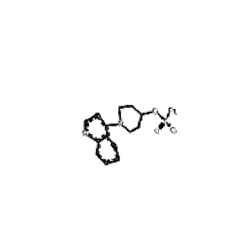 CCS(=O)(=O)OC1CCN(c2ccnc3ccccc23)CC1